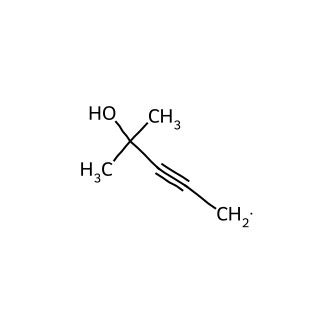 [CH2]C#CC(C)(C)O